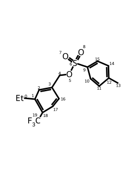 CCc1cc(COS(=O)(=O)c2ccc(C)cc2)ccc1C(F)(F)F